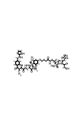 Cc1cc(OCCCC(=O)NCCC[C@H](C[C@H](CS(=O)(=O)O)NC(=O)CS)CS(=O)(=O)O)cc(C)c1S(=O)(=O)N[C@@H](CNC(=O)C1=Nc2cc(CNc3ncc[nH]3)ccc2C(=O)C1C)C(=O)O